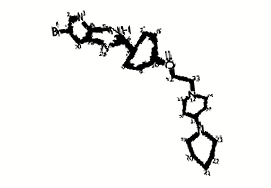 Brc1cnc2[nH]c(-c3ccc(OCCN4CCC(N5CCCCC5)CC4)cc3)nc2c1